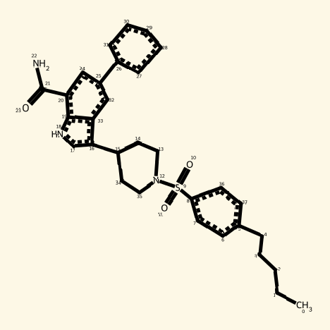 CCCCCc1ccc(S(=O)(=O)N2CCC(c3c[nH]c4c(C(N)=O)cc(-c5ccccc5)cc34)CC2)cc1